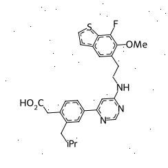 COc1c(CCNc2cc(-c3ccc(CC(=O)O)c(CC(C)C)c3)ncn2)cc2ccsc2c1F